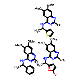 COc1cc2nc(C)nc(NC(C)c3ccc(Br)o3)c2cc1OC.COc1cc2nc(C)nc(NC(C)c3ccccc3)c2cc1OC.COc1cc2nc(C)nc(NC(C)c3cccs3)c2cc1OC